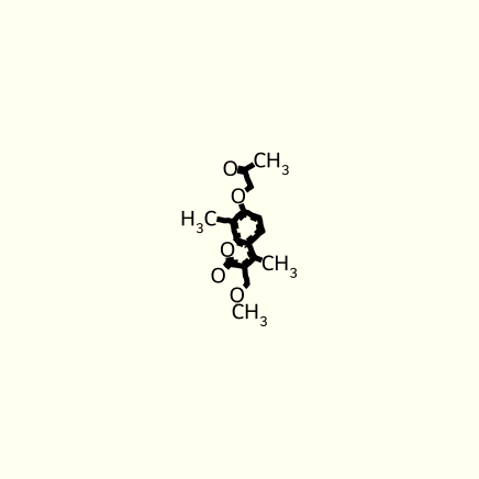 COCc1c(C)c2ccc(OCC(C)=O)c(C)c2oc1=O